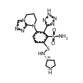 NS(=O)(=O)c1c(SN[C@@H]2CCNC2)ccc(N2CCCn3cnnc32)c1-c1nn[nH]n1